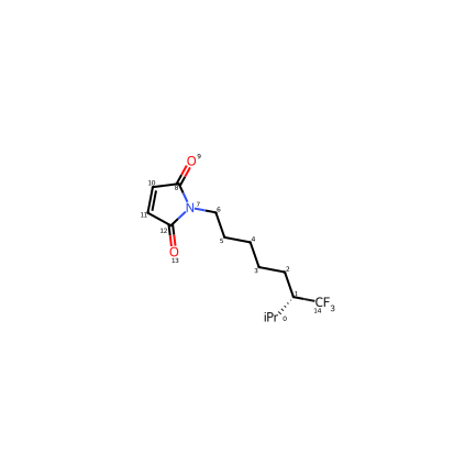 CC(C)[C@H](CCCCCN1C(=O)C=CC1=O)C(F)(F)F